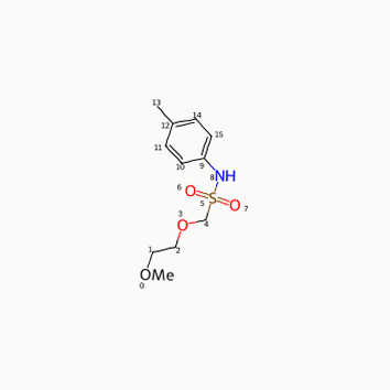 COCCOCS(=O)(=O)Nc1ccc(C)cc1